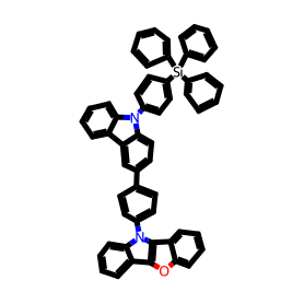 c1ccc([Si](c2ccccc2)(c2ccccc2)c2ccc(-n3c4ccccc4c4cc(-c5ccc(-n6c7ccccc7c7oc8ccccc8c76)cc5)ccc43)cc2)cc1